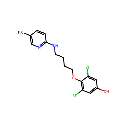 Oc1cc(Cl)c(OCCCCNc2ccc(C(F)(F)F)cn2)c(Cl)c1